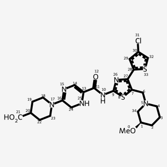 CO[C@@H]1CCCN(Cc2sc(NC(=O)C3=CN=C(N4CCC(C(=O)O)CC4)CN3)nc2-c2cc(Cl)cs2)C1